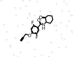 C#CCOc1cc(F)c(C(=O)NC2CCCCC2=O)cc1F